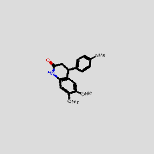 CNc1ccc(C2CC(=O)Nc3cc(OC)c(OC)cc32)cc1